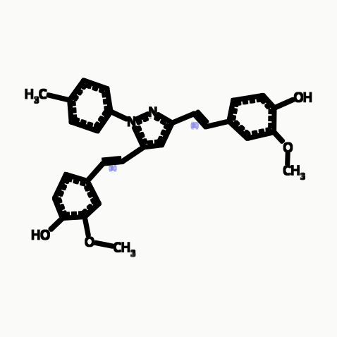 COc1cc(/C=C/c2cc(/C=C/c3ccc(O)c(OC)c3)n(-c3ccc(C)cc3)n2)ccc1O